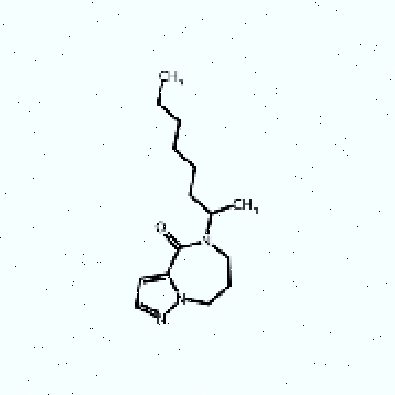 CCCCCCC(C)N1CCCn2nccc2C1=O